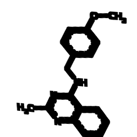 COc1ccc(CNc2nc(C)nc3ccccc23)cc1